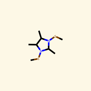 CSN1C(C)C(C)N(SC)C1C